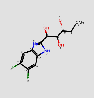 COC[C@@H](O)C(O)C(O)c1nc2cc(F)c(F)cc2[nH]1